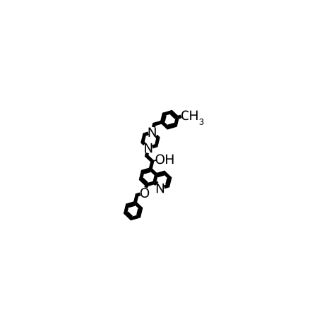 Cc1ccc(CN2CCN(C[C@H](O)c3ccc(OCc4ccccc4)c4ncccc34)CC2)cc1